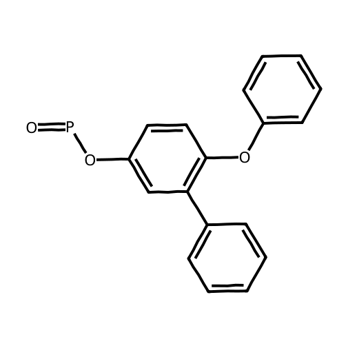 O=POc1ccc(Oc2ccccc2)c(-c2ccccc2)c1